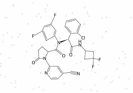 N#Cc1ccnc(N2C(=O)CCC2C(=O)N(c2cc(F)cc(F)c2)[C@H](C(=O)NC2CC(F)(F)C2)c2ccccc2Cl)c1